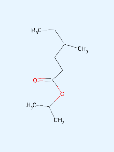 CCC(C)CCC(=O)OC(C)C